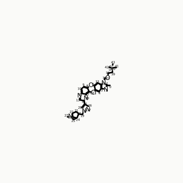 Cc1nc2ccc(Oc3ccc4ncc(-c5cnn(CC6CC7CC6CN7C)c5)nc4c3Cl)cc2n1COCC[Si](C)(C)C